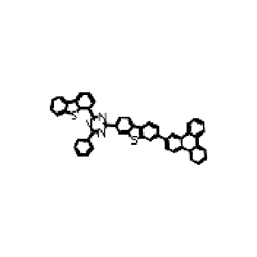 c1ccc(-c2nc(-c3ccc4c(c3)sc3cc(-c5ccc6c7ccccc7c7ccccc7c6c5)ccc34)nc(-c3cccc4c3sc3ccccc34)n2)cc1